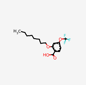 CCCCCCCCOc1cc(OC(F)(F)F)ccc1C(=O)O